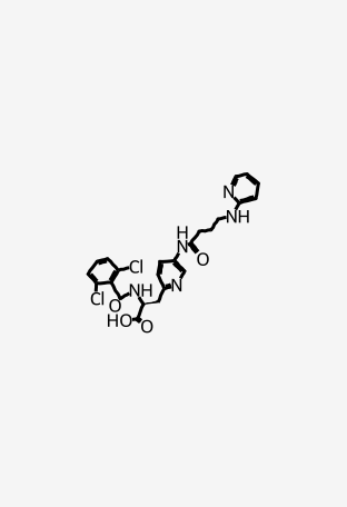 O=C(CCCNc1ccccn1)Nc1ccc(C[C@H](NC(=O)c2c(Cl)cccc2Cl)C(=O)O)nc1